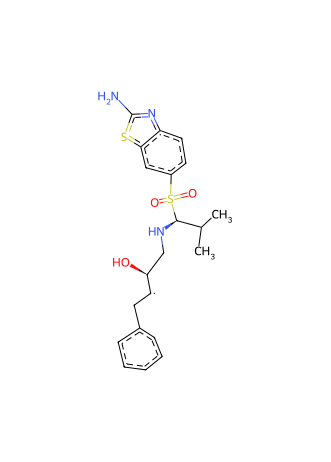 CC(C)[C@@H](NC[C@H](O)[CH]Cc1ccccc1)S(=O)(=O)c1ccc2nc(N)sc2c1